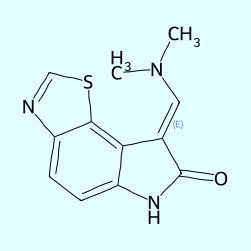 CN(C)/C=C1/C(=O)Nc2ccc3ncsc3c21